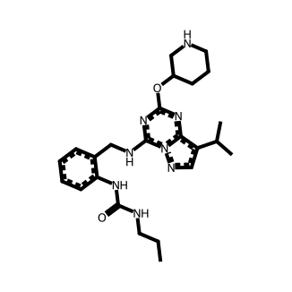 CCCNC(=O)Nc1ccccc1CNc1nc(OC2CCCNC2)nc2c(C(C)C)cnn12